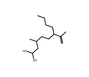 C=C(C)C(CCCC)CCC(C)CC(O)O